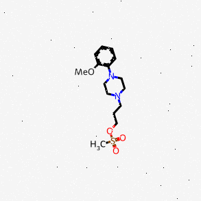 COc1ccccc1N1CCN(CCCOS(C)(=O)=O)CC1